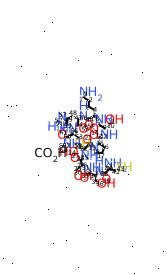 NCCCC[C@H](NC(=O)[C@H](CO)NC(=O)[C@@H]1CCCN1C(=O)[C@H](CO)NC(=O)[C@H](CO)NC(=O)[C@H](CO)NC(=O)[C@@H](N)CS)C(=O)N[C@@H](Cc1c[nH]cn1)C(=O)N[C@@H](CS)C(=O)NCC(=O)O